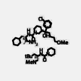 CNC[C@H](CC(C)(C)C)NC(=O)N1CCCCC1.COCCCC[C@@](O)(c1cccc(Cl)c1)[C@@H]1CCCN(C(=O)N[C@@H](CC2CCCCC2)[C@@H](C)N)C1